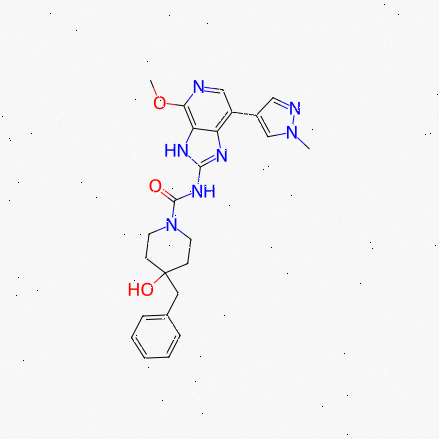 COc1ncc(-c2cnn(C)c2)c2nc(NC(=O)N3CCC(O)(Cc4ccccc4)CC3)[nH]c12